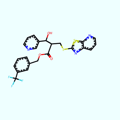 O=C(OCc1cccc(C(F)(F)F)c1)C(CSc1nc2cccnc2s1)C(O)c1cccnc1